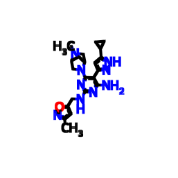 Cc1cc(CNc2nc(N)c(-c3cc(C4CC4)[nH]n3)c(N3CC4CC3CN4C)n2)on1